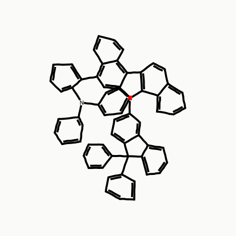 c1ccc(N(c2ccccc2)c2ccccc2-c2cc3c(c4ccccc24)c2ccc4ccccc4c2n3-c2ccc3c(c2)-c2ccccc2C3(c2ccccc2)c2ccccc2)cc1